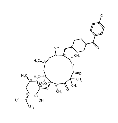 CCCN1C[C@H](C)C[C@@](C)(OC)[C@H](O[C@@H]2O[C@H](C)C[C@H](N(C)C)[C@H]2O)[C@@H](C)C(=O)C(C)(C)C(=O)O[C@@H](C)[C@@H]1CN1CCN(C(=O)c2ccc(Cl)cc2)CC1